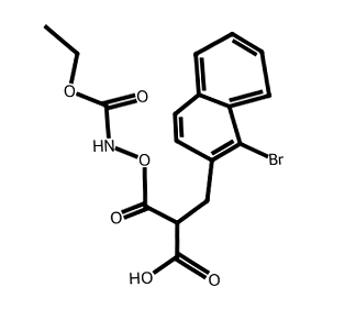 CCOC(=O)NOC(=O)C(Cc1ccc2ccccc2c1Br)C(=O)O